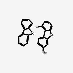 CC(C)(C)c1ccc2c(c1)[nH]c1cccc(C(C)(C)C)c12.c1ccc2c(c1)oc1ccccc12